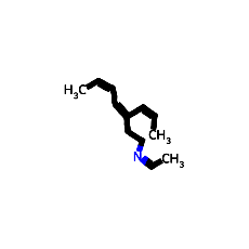 C\C=C/C=C(\C=C/C)CC/N=C\C